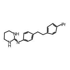 CC(C)c1ccc(CCc2ccc(N=C3NCCCN3)cc2)cc1